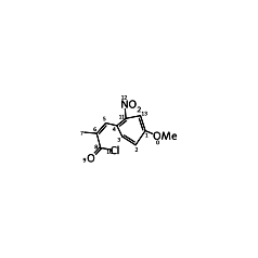 COc1ccc(C=C(C)C(=O)Cl)c([N+](=O)[O-])c1